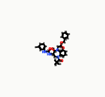 Cc1cccc(NC(=O)NC2CN(C(=O)C(C)(C)C)c3ccccc3N(CC(=O)OCc3ccccc3)C2=O)c1